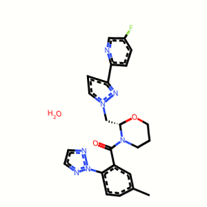 Cc1ccc(-n2nccn2)c(C(=O)N2CCCO[C@H]2Cn2ccc(-c3ccc(F)cn3)n2)c1.O